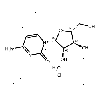 Cl.Nc1ccn([C@@H]2O[C@H](CO)[C@@H](O)[C@H]2O)c(=O)n1.O